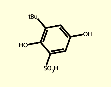 CC(C)(C)c1cc(O)cc(S(=O)(=O)O)c1O